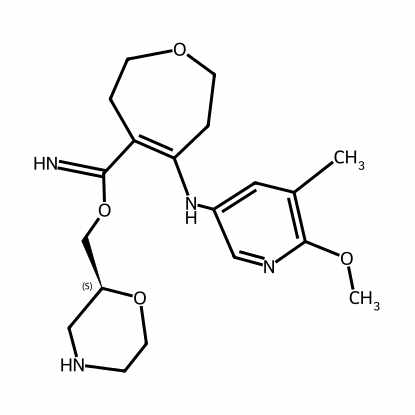 COc1ncc(NC2=C(C(=N)OC[C@@H]3CNCCO3)CCOCC2)cc1C